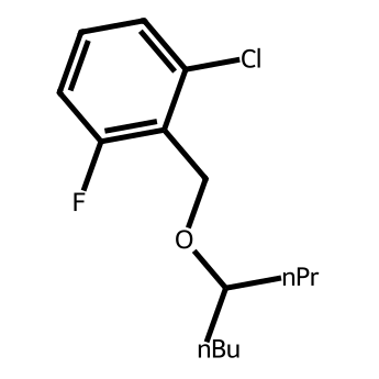 CCCCC(CCC)OCc1c(F)cccc1Cl